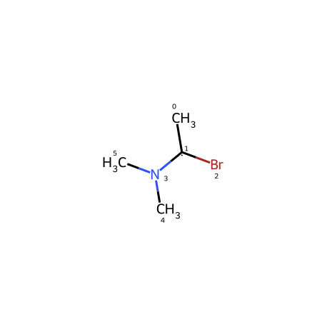 C[C](Br)N(C)C